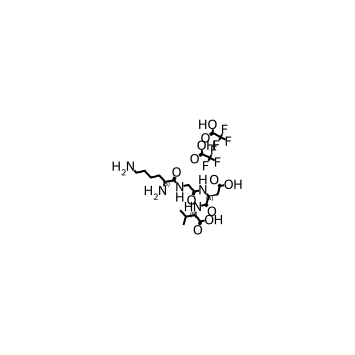 CC(C)[C@H](NC(=O)[C@H](CC(=O)O)NC(=O)CNC(=O)[C@@H](N)CCCCN)C(=O)O.O=C(O)C(F)(F)F.O=C(O)C(F)(F)F